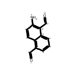 Nc1ccc2c(C=O)cccc2c1C=O